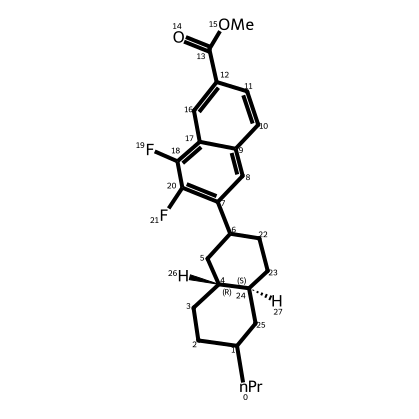 CCCC1CC[C@@H]2CC(c3cc4ccc(C(=O)OC)cc4c(F)c3F)CC[C@H]2C1